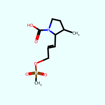 CC1CCN(C(=O)O)C1C=CCOS(C)(=O)=O